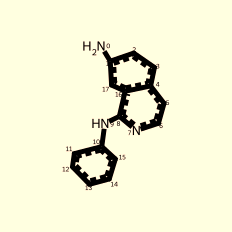 Nc1ccc2ccnc(Nc3ccccc3)c2c1